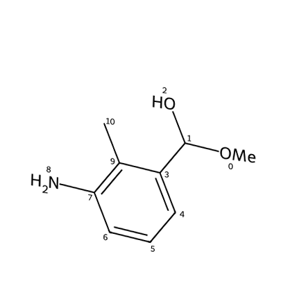 COC(O)c1cccc(N)c1C